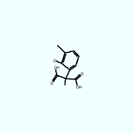 Cc1cccc(C(C)(C(=O)O)C(=O)O)c1Cl